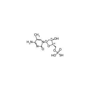 Cc1cn([C@H]2C[C@@H](O)[C@@H](COP(=O)(O)S)O2)c(=O)nc1N